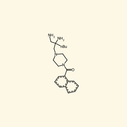 CCCCC(N)(CN)CN1CCN(C(=O)c2cccc3ccccc23)CC1